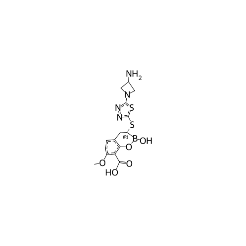 COc1ccc2c(c1C(=O)O)OB(O)[C@@H](Sc1nnc(N3CC(N)C3)s1)C2